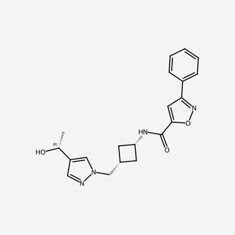 C[C@@H](O)c1cnn(C[C@H]2C[C@@H](NC(=O)c3cc(-c4ccccc4)no3)C2)c1